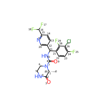 C[C@@H]1C(=O)NCCN1C(=O)NC(c1ccc(C(F)F)nc1)c1ccc(F)c(Cl)c1F